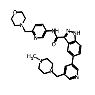 CN1CCN(Cc2cncc(-c3ccc4[nH]nc(C(=O)Nc5ccc(CN6CCOCC6)nc5)c4c3)c2)CC1